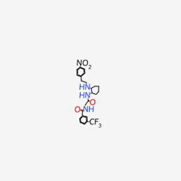 O=C(CNC(=O)c1cccc(C(F)(F)F)c1)N[C@@H]1CCCC[C@@H]1NCCc1ccc([N+](=O)[O-])cc1